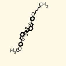 CCCCCCOc1ccc(-c2cc3ccc4c(sc5c6ccc7cc(-c8ccc(OC)cc8)sc7c6sc45)c3s2)cc1